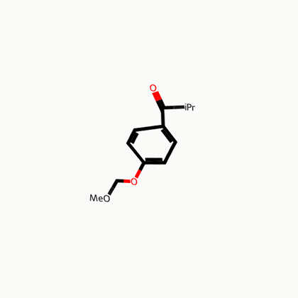 COCOc1ccc(C(=O)C(C)C)cc1